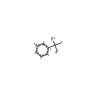 CC(F)(F)c1cc[c]nc1